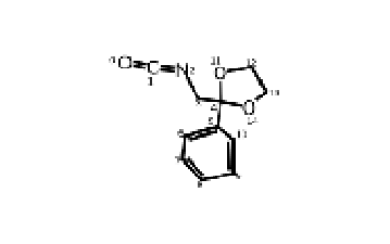 O=C=NCC1(c2ccccc2)OCCO1